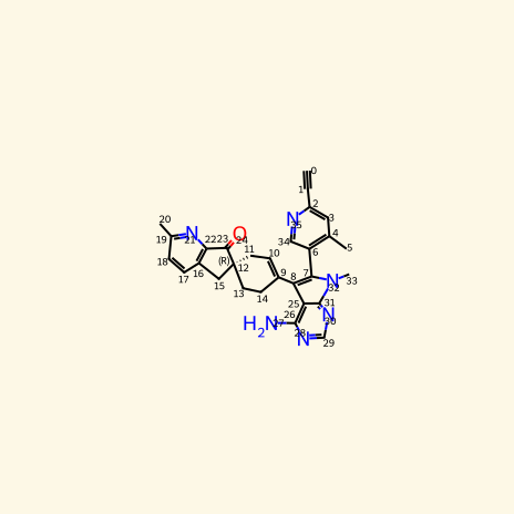 C#Cc1cc(C)c(-c2c(C3=CC[C@]4(CC3)Cc3ccc(C)nc3C4=O)c3c(N)ncnc3n2C)cn1